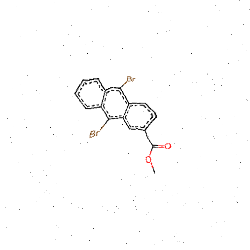 COC(=O)c1ccc2c(Br)c3ccccc3c(Br)c2c1